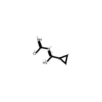 N=C(Cl)/N=C(\S)C1CC1